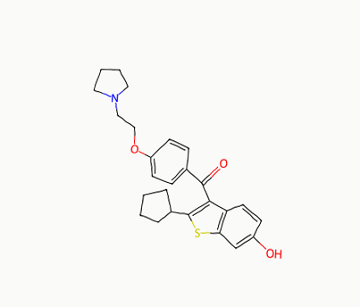 O=C(c1ccc(OCCN2CCCC2)cc1)c1c(C2CCCC2)sc2cc(O)ccc12